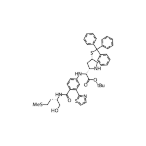 CSCC[C@@H](CO)NC(=O)c1ccc(NC(C(=O)OC(C)(C)C)[C@@H]2C[C@H](SC(c3ccccc3)(c3ccccc3)c3ccccc3)CN2)cc1-c1nccs1